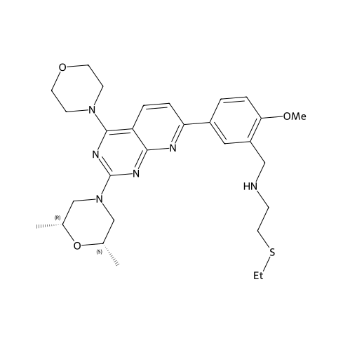 CCSCCNCc1cc(-c2ccc3c(N4CCOCC4)nc(N4C[C@@H](C)O[C@@H](C)C4)nc3n2)ccc1OC